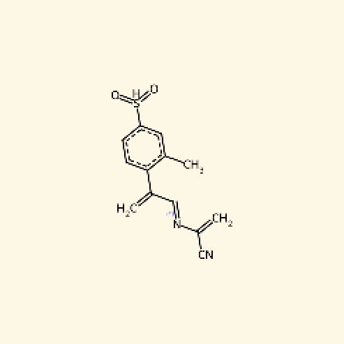 C=C(C#N)/N=C/C(=C)c1ccc([SH](=O)=O)cc1C